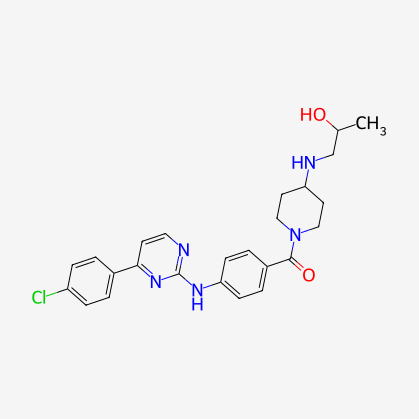 CC(O)CNC1CCN(C(=O)c2ccc(Nc3nccc(-c4ccc(Cl)cc4)n3)cc2)CC1